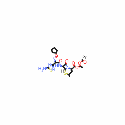 CC(OC(=O)C1=CC(C)S[C@@H]2C(NC(=O)/C(=N\OC3CCCC3)c3nsc(N)n3)C(=O)N12)OC(=O)C(C)C